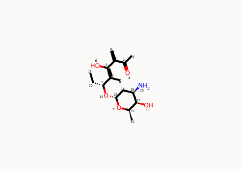 C=C(C(C)=O)/C(O)=C(\C)[C@@H](CC)O[C@@H]1C[C@@H](N)[C@@H](O)[C@@H](C)O1